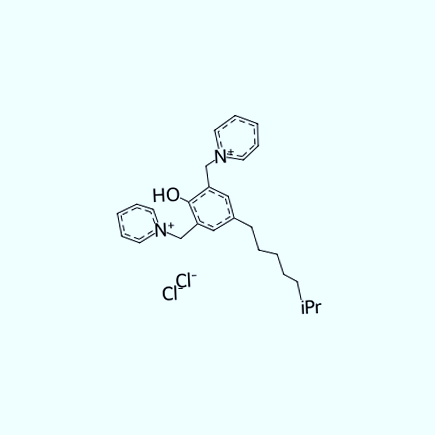 CC(C)CCCCCc1cc(C[n+]2ccccc2)c(O)c(C[n+]2ccccc2)c1.[Cl-].[Cl-]